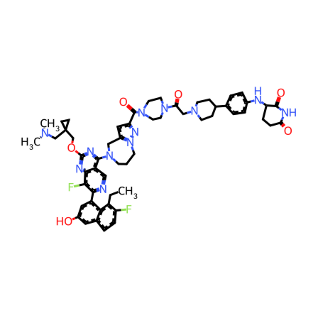 CCc1c(F)ccc2cc(O)cc(-c3ncc4c(N5CCCn6nc(C(=O)N7CCN(C(=O)CN8CCC(c9ccc(NC%10CCC(=O)NC%10=O)cc9)CC8)CC7)cc6C5)nc(OCC5(CN(C)C)CC5)nc4c3F)c12